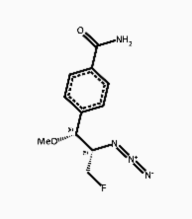 CO[C@H](c1ccc(C(N)=O)cc1)[C@@H](CF)N=[N+]=[N-]